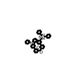 O=c1c2cccc(-c3cccc(-c4nc(-c5ccccc5)nc(-c5ccccc5)n4)c3)c2oc2c(-c3ccc4c(c3)c3ccccc3n4-c3ccccc3)cccc12